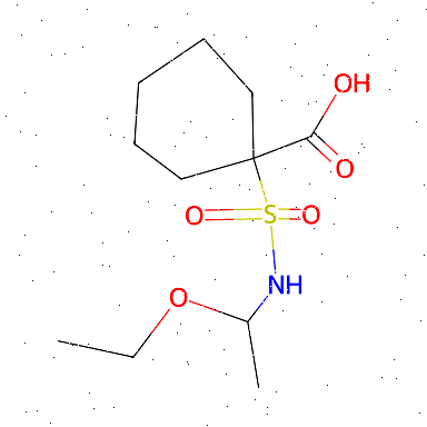 CCOC(C)NS(=O)(=O)C1(C(=O)O)CCCCC1